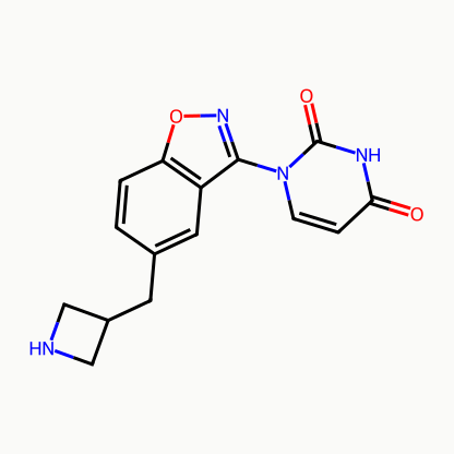 O=c1ccn(-c2noc3ccc(CC4CNC4)cc23)c(=O)[nH]1